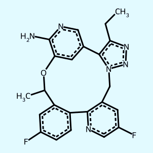 CCc1nnn2c1-c1cnc(N)c(c1)OC(C)c1cc(F)ccc1-c1ncc(F)cc1C2